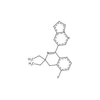 CCC1(CC)Cc2c(F)cccc2C(c2cnn3cccc3c2)=N1